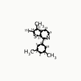 Cc1cc(C)cc(-c2nccc3c(C)c(I)sc23)c1